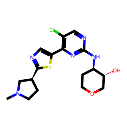 CN1CC[C@H](c2ncc(-c3nc(N[C@@H]4CCOC[C@H]4O)ncc3Cl)s2)C1